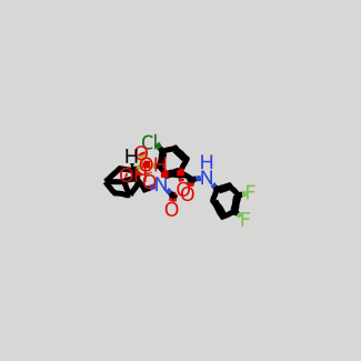 O=C(Nc1ccc(F)c(F)c1)c1ccc(Cl)c(S(=O)(=O)[C@H]2CC3CC(C2)[C@]3(O)C(O)CN2CCOC2=O)c1